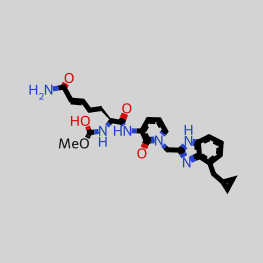 COC(O)N[C@@H](CC/C=C/C(N)=O)C(=O)Nc1cccn(Cc2nc3c(CC4CC4)cccc3[nH]2)c1=O